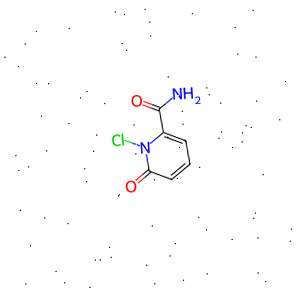 NC(=O)c1cccc(=O)n1Cl